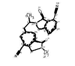 CC(Cc1cc(C#N)c2c(c1)C(=O)N(C)C2)N1Cc2cccc(C#N)c2C1=O